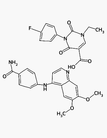 CCn1cc(C(=O)O)c(=O)n(-c2ccc(F)cc2)c1=O.COc1cc2nccc(Nc3ccc(C(N)=O)cc3)c2cc1OC